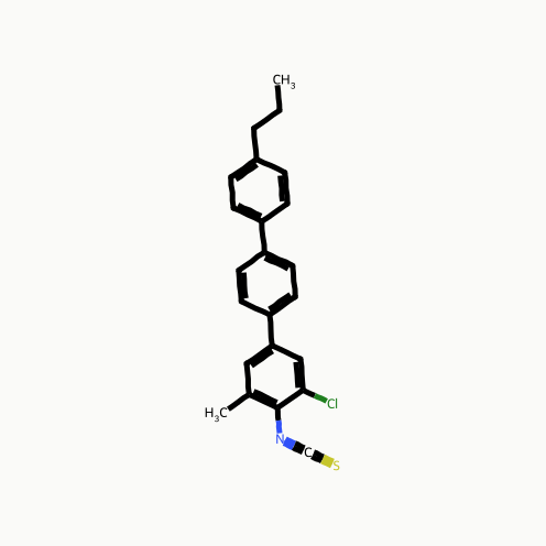 CCCc1ccc(-c2ccc(-c3cc(C)c(N=C=S)c(Cl)c3)cc2)cc1